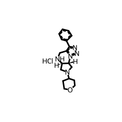 Cl.c1ccc(-c2nnn3c2CN[C@@H]2CN(C4CCOCC4)C[C@H]23)cc1